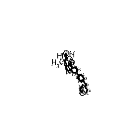 CC(C(=O)NO)n1cnc2cc(-c3ccc(CN4CCOCC4)cc3)ccc2c1=O